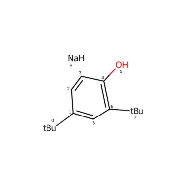 CC(C)(C)c1ccc(O)c(C(C)(C)C)c1.[NaH]